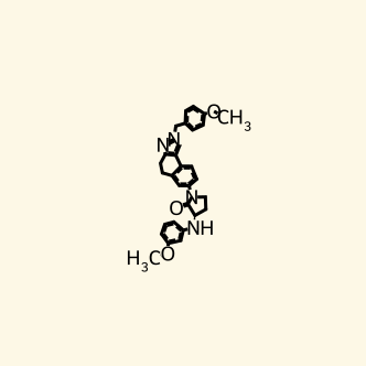 COc1ccc(Cn2cc3c(n2)CCc2cc(N4CC[C@H](Nc5cccc(OC)c5)C4=O)ccc2-3)cc1